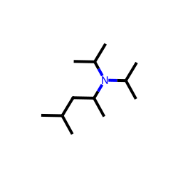 CC(C)CC(C)N(C(C)C)C(C)C